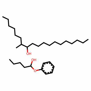 CCCCC(O)Oc1ccccc1.CCCCCCCCCCCC(O)C(C)CCCCCC